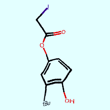 CC(C)(C)c1cc(OC(=O)CI)ccc1O